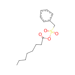 CCCCCCCC(=O)OS(=O)(=O)Cc1ccccc1